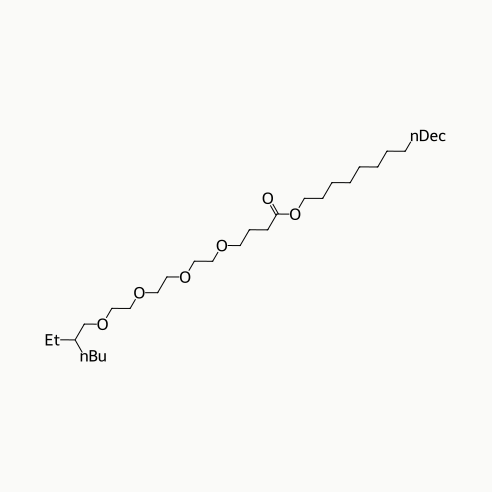 CCCCCCCCCCCCCCCCCCOC(=O)CCCOCCOCCOCCOCC(CC)CCCC